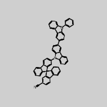 N#Cc1ccc2c(c1)C1(C3=C2C=CCC3)c2ccccc2-c2ccc(-n3c4ccccc4c4cc(-c5ccc6c(c5)c5ccccc5n6-c5ccccc5)ccc43)cc21